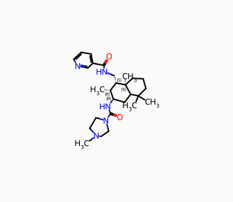 C[C@H]1[C@H](NC(=O)N2CCN(C)CC2)CC2C(C)(C)CCC[C@]2(C)[C@H]1CNC(=O)c1cccnc1